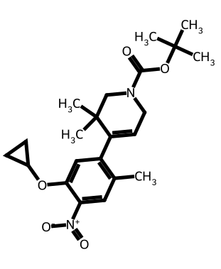 Cc1cc([N+](=O)[O-])c(OC2CC2)cc1C1=CCN(C(=O)OC(C)(C)C)CC1(C)C